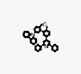 c1ccc(-c2cc(-c3ccc4c(c3)-c3cc(-n5c6ccccc6c6ccccc65)ccc3COC4)cc(-c3ccccc3)n2)cc1